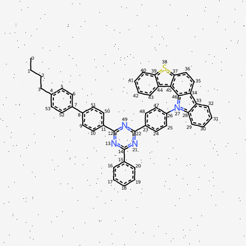 CCCCc1ccc(-c2ccc(-c3nc(-c4ccccc4)nc(-c4ccc(-n5c6ccccc6c6ccc7sc8ccccc8c7c65)cc4)n3)cc2)cc1